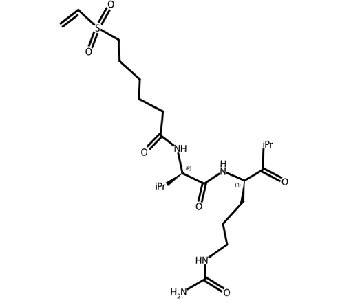 C=CS(=O)(=O)CCCCCC(=O)N[C@@H](C(=O)N[C@H](CCCNC(N)=O)C(=O)C(C)C)C(C)C